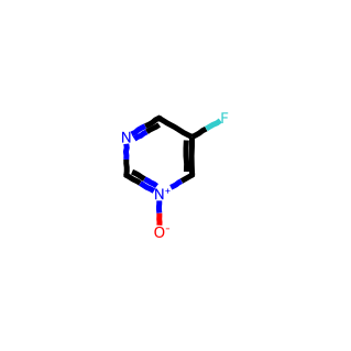 [O-][n+]1cncc(F)c1